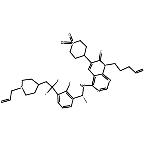 C=CCCCn1c(=O)c(C2CCS(=O)(=O)CC2)cc2c(N[C@H](C)c3cccc(C(F)(F)CC4CCN(CC=C)CC4)c3F)ncnc21